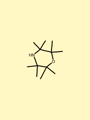 CC1(C)NC(C)(C)C(C)(C)OC1(C)C